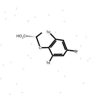 [2H]c1cc(Br)cc([2H])c1O[C@@H](C)C(=O)O